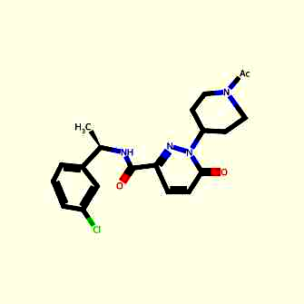 CC(=O)N1CCC(n2nc(C(=O)N[C@H](C)c3cccc(Cl)c3)ccc2=O)CC1